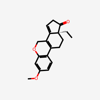 CC[C@]12CCC3=C(COc4cc(OC)ccc43)C1=CCC2=O